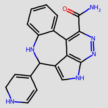 NC(=O)c1nnc2[nH]cc3c2c1-c1ccccc1NC3C1=CCNC=C1